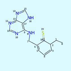 CCC1C=CC=C(CNc2ncnc3nc[nH]c23)C1=S